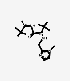 C[C@@H](NC(=O)[C@@H](NCc1nccn1C)C(C)(C)C)C(C)(C)C